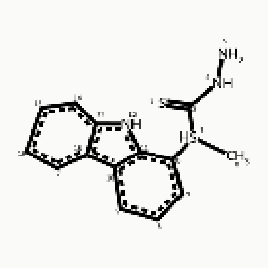 C[SH](C(=S)NN)c1cccc2c1[nH]c1ccccc12